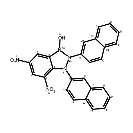 O=[N+]([O-])c1cc2c(c([N+](=O)[O-])c1)N(c1ccc3ccccc3c1)N(c1ccc3ccccc3c1)N2O